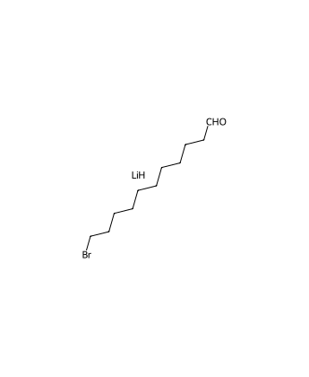 O=CCCCCCCCCCCBr.[LiH]